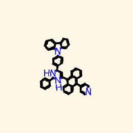 C1=C(c2c3ccccc3c(-c3ccncc3)c3ccccc23)NC(c2ccccc2)NC1c1ccc(-n2c3ccccc3c3ccccc32)cc1